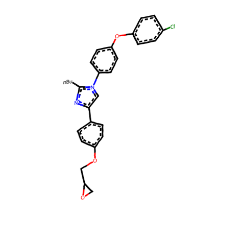 CCCCc1nc(-c2ccc(OCC3CO3)cc2)cn1-c1ccc(Oc2ccc(Cl)cc2)cc1